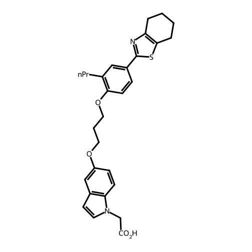 CCCc1cc(-c2nc3c(s2)CCCC3)ccc1OCCCOc1ccc2c(ccn2CC(=O)O)c1